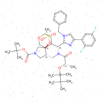 C[C@H](O[Si](C)(C)C(C)(C)C)C(=O)N(C[C@@H]1CN(C(=O)OC(C)(C)C)C[C@H]1OS(C)(=O)=O)[C@@H](c1nc(-c2cc(F)ccc2F)cn1Cc1ccccc1)C1CCOCC1